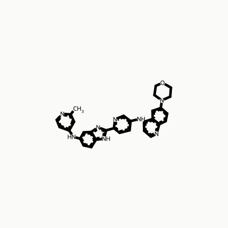 Cc1cc(Nc2ccc3[nH]c(-c4ccc(Nc5ccnc6ccc(N7CCOCC7)cc56)cn4)nc3c2)ccn1